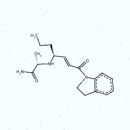 CCC[C@@H](/C=C/C(=O)N1CCc2ccccc21)N[C@@H](C)C(N)=O